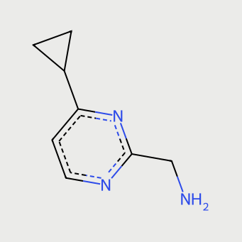 NCc1nccc(C2CC2)n1